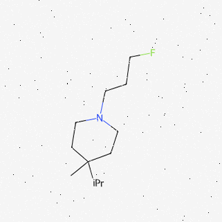 CC(C)C1(C)CCN(CCCF)CC1